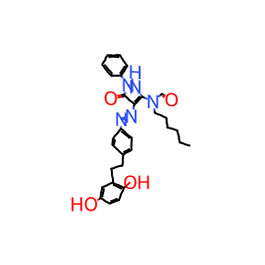 CCCCCCN(C=O)c1[nH]n(-c2ccccc2)c(=O)c1N=Nc1ccc(CCc2cc(O)ccc2O)cc1